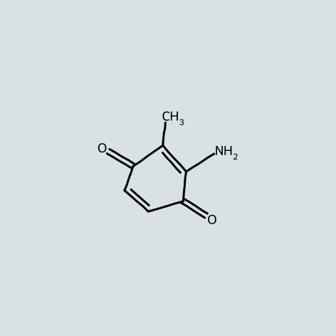 CC1=C(N)C(=O)C=CC1=O